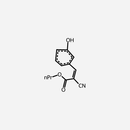 CCCOC(=O)C(C#N)=Cc1cccc(O)c1